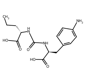 CCC[C@H](NC(=O)N[C@@H](Cc1ccc(N)cc1)C(=O)O)C(=O)O